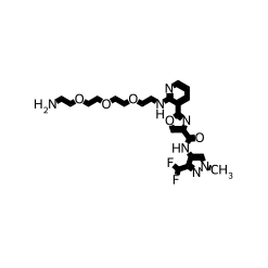 Cn1cc(NC(=O)c2coc(-c3cccnc3NCCOCCOCCOCCN)n2)c(C(F)F)n1